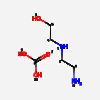 NCCNCCO.O=C(O)O